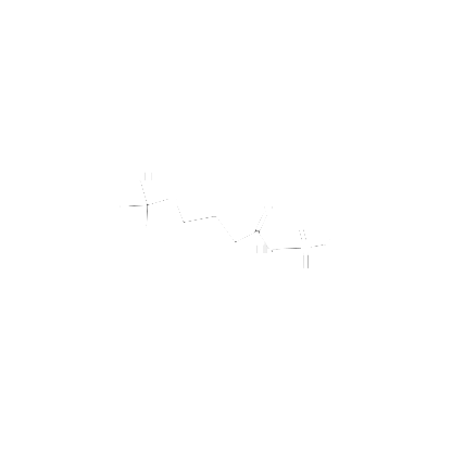 CC(C)(C)SCCCC(=O)NS(C)(=O)=O